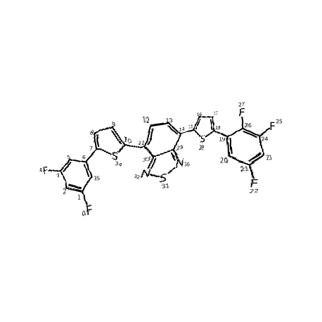 Fc1cc(F)cc(-c2ccc(-c3ccc(-c4ccc(-c5cc(F)cc(F)c5F)s4)c4nsnc34)s2)c1